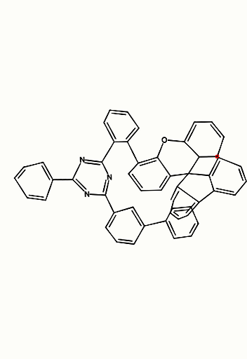 C1=CCC2C(=C1)Oc1c(-c3ccccc3-c3nc(-c4ccccc4)nc(-c4cccc(-c5ccccc5)c4)n3)cccc1C21c2ccccc2-c2ccccc21